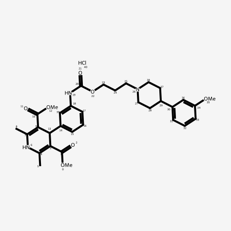 COC(=O)C1=C(C)NC(C)=C(C(=O)OC)C1c1cccc(NC(=O)OCCCN2CCC(c3cccc(OC)c3)CC2)c1.Cl